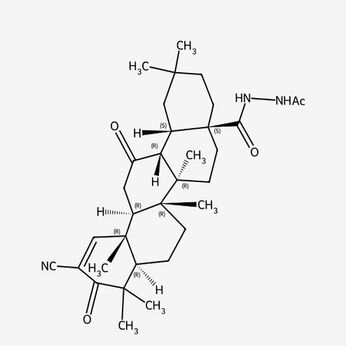 CC(=O)NNC(=O)[C@]12CCC(C)(C)C[C@H]1[C@H]1C(=O)C[C@@H]3[C@@]4(C)C=C(C#N)C(=O)C(C)(C)[C@@H]4CC[C@@]3(C)[C@]1(C)CC2